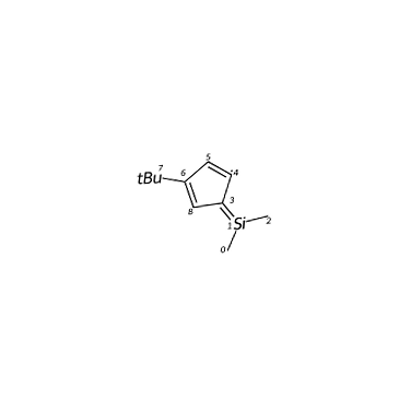 C[Si](C)=C1[C]=CC(C(C)(C)C)=C1